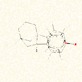 Nc1c(F)cc(F)c(C23CCCC(C(=O)O)(C2)C[C@@]3(F)c2c(F)cc(F)c(N)c2F)c1F